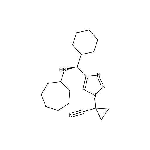 N#CC1(n2cc([C@@H](NC3CCCCCC3)C3CCCCC3)nn2)CC1